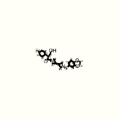 O=C(C(CO)c1ccc(F)cc1)N1CC(=C2CN(Sc3ccc4c(c3)OCCO4)C2)C1